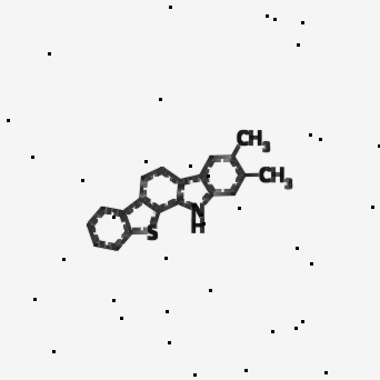 Cc1cc2[nH]c3c(ccc4c5ccccc5sc43)c2cc1C